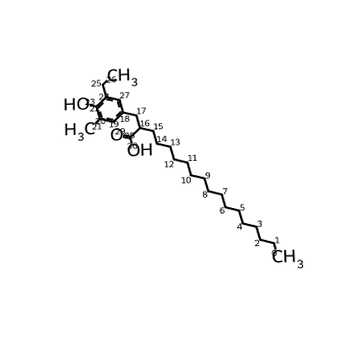 CCCCCCCCCCCCCCCCC(Cc1cc(C)c(O)c(CC)c1)C(=O)O